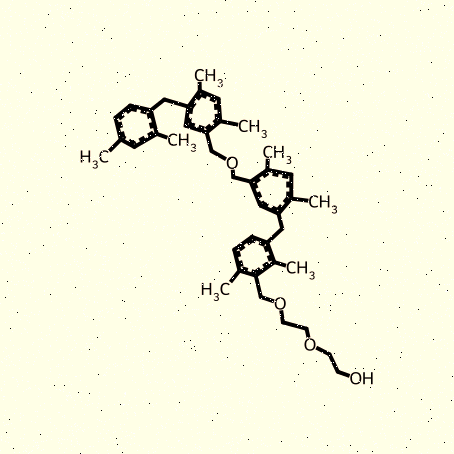 Cc1ccc(Cc2cc(COCc3cc(Cc4ccc(C)c(COCCOCCO)c4C)c(C)cc3C)c(C)cc2C)c(C)c1